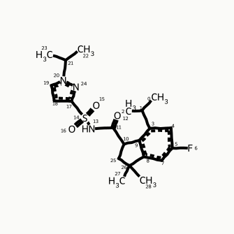 CC(C)c1cc(F)cc2c1C(C(=O)NS(=O)(=O)c1ccn(C(C)C)n1)CC2(C)C